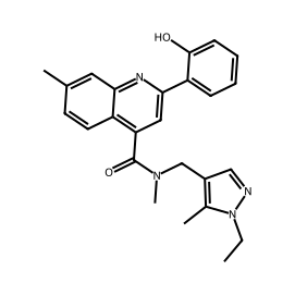 CCn1ncc(CN(C)C(=O)c2cc(-c3ccccc3O)nc3cc(C)ccc23)c1C